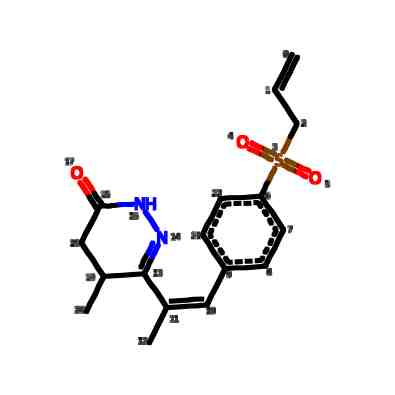 C=CCS(=O)(=O)c1ccc(C=C(C)C2=NNC(=O)CC2C)cc1